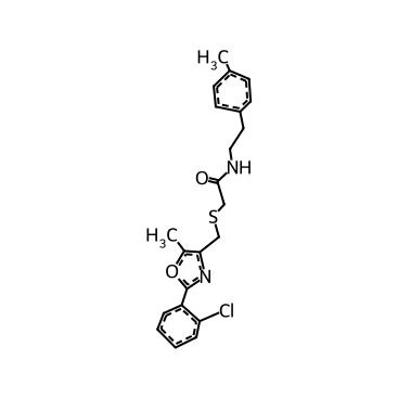 Cc1ccc(CCNC(=O)CSCc2nc(-c3ccccc3Cl)oc2C)cc1